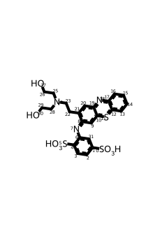 O=S(=O)(O)c1ccc(S(=O)(=O)O)c(/N=c2\cc3sc4ccccc4nc-3cc2CCN(CCO)CCO)c1